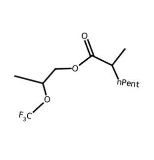 CCCCCC(C)C(=O)OCC(C)OC(F)(F)F